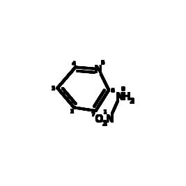 N[N+](=O)[O-].c1ccncc1